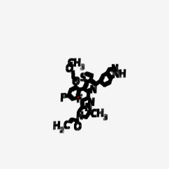 C=CC(=O)N1Cc2cc(-c3nc(-c4ccc5[nH]ncc5c4)c4ccsc4c3-c3c(F)cc(F)cc3OCCOC)nn2C(C)C1